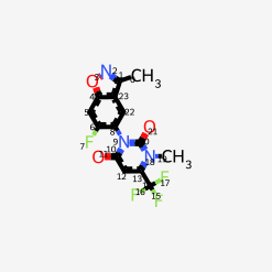 Cc1noc2cc(F)c(-n3c(=O)cc(C(F)(F)F)n(C)c3=O)cc12